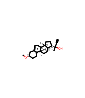 C#CC(C)(O)[C@H]1CC[C@H]2[C@@H]3CC=C4C[C@@H](OC)CC[C@]4(C)[C@H]3CC[C@]12C